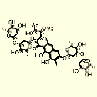 CO[C@@H]([C@@H]1Cc2cc3cc(O[C@H]4C[C@@H](O[C@H]5C[C@@H](O)[C@H](O)[C@@H](C)O5)[C@H](O)[C@@H](C)O4)c(C)c(O)c3c(O)c2C(=O)[C@H]1O[C@H]1C[C@@H](O[C@H]2C[C@@H](O)[C@@H](O)[C@@H](C)O2)[C@H](O)[C@@H](C)O1)[C@@H](O)C(C)=O